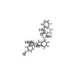 N#Cc1ccc2c(-c3cc4c(CNC5CCc6ccccc6NC5=O)cccc4[nH]3)n[nH]c2c1